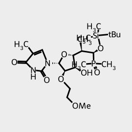 COCCO[C@@H]1[C@H](O)[C@@H]([C@@H](C)[C@@H](O[Si](C)(C)C(C)(C)C)P(C)(C)=O)O[C@H]1n1cc(C)c(=O)[nH]c1=O